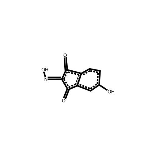 O=c1c(=NO)c(=O)c2cc(O)ccc12